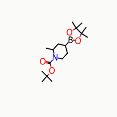 CC1CC(B2OC(C)(C)C(C)(C)O2)CCN1C(=O)OC(C)(C)C